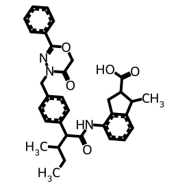 CCC(C)C(C(=O)Nc1cccc2c1CC(C(=O)O)C2C)c1ccc(CN2N=C(c3ccccc3)OCC2=O)cc1